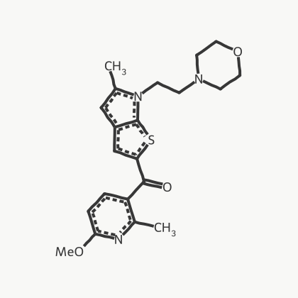 COc1ccc(C(=O)c2cc3cc(C)n(CCN4CCOCC4)c3s2)c(C)n1